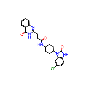 O=C(CCc1nc2ccccc2c(=O)[nH]1)NC1CCC(n2c(=O)[nH]c3ccc(Cl)cc32)CC1